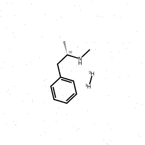 CN[C@@H](C)Cc1ccccc1.[3H][3H]